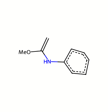 C=C(Nc1ccccc1)OC